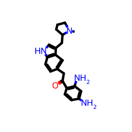 CN1CCCC1Cc1c[nH]c2ccc(CC(=O)c3ccc(N)cc3N)cc12